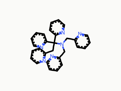 c1ccc(CN(Cc2ccccn2)C(Cc2ccccn2)(c2ccccn2)c2ccccn2)nc1